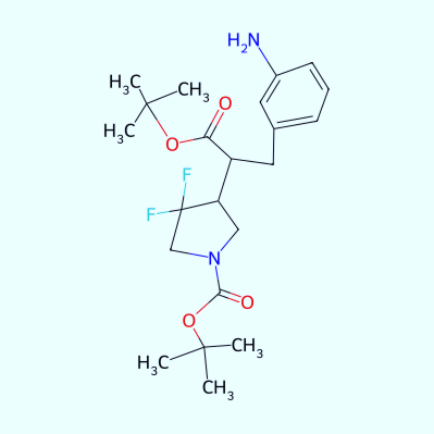 CC(C)(C)OC(=O)C(Cc1cccc(N)c1)C1CN(C(=O)OC(C)(C)C)CC1(F)F